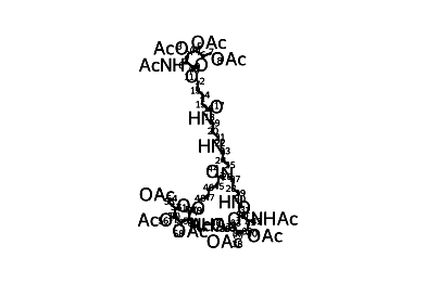 CC(=O)NC1C(OC(C)=O)[C@@H](OC(C)=O)C(COC(C)=O)O[C@H]1OCCCCC(=O)NCCCNCCCN(CCCNO[C@@H]1OC(COC(C)=O)[C@H](OC(C)=O)C(OC(C)=O)C1NC(C)=O)C(=O)CCCCO[C@@H]1OC(COC(C)=O)[C@H](OC(C)=O)C(OC(C)=O)C1NC(C)=O